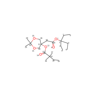 CCC(CC)(CC)OC(=O)CC1(OC(=O)C(C)(C)CC)COC(C)(C)OC1